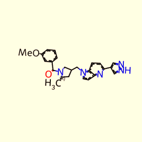 COc1cccc(C(=O)N2CC(Cn3ccc4nc(-c5cn[nH]c5)ccc43)C[C@H]2C)c1